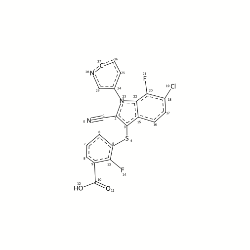 N#Cc1c(Sc2cccc(C(=O)O)c2F)c2ccc(Cl)c(F)c2n1-c1cccnc1